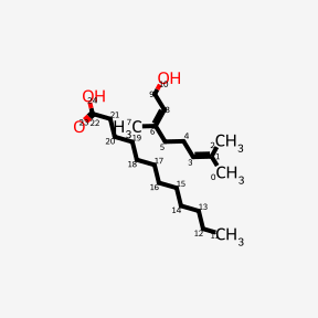 CC(C)=CCCC(C)=CCO.CCCCCCCCCCCC(=O)O